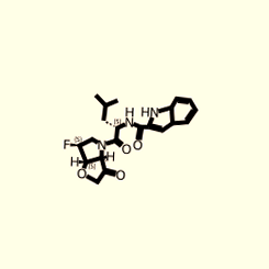 CC(C)C[C@H](NC(=O)C1=CC2C=CC=CC2N1)C(=O)N1C[C@H](F)[C@H]2OCC(=O)[C@H]21